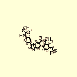 COC(=O)Nc1ccc(-c2cnc3ccc(C(=O)N(C)c4cccc(CC(F)F)c4)cn23)cn1